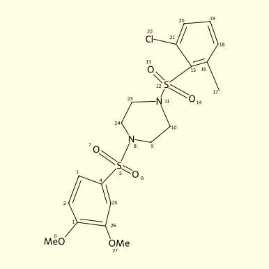 COc1ccc(S(=O)(=O)N2CCN(S(=O)(=O)c3c(C)cccc3Cl)CC2)cc1OC